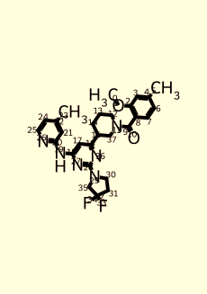 COc1cc(C)ccc1C(=O)N1CCCC(c2cc(Nc3cc(C)ccn3)nc(N3CCC(F)(F)C3)n2)C1